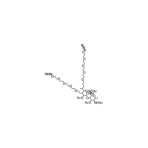 COC(OC1C(COC(C)=O)OC(C)C(NC(C)=O)C1OC(C)=O)C(OC(C)=O)C(CCOCCOCCOCCOCCON=[N+]=[N-])C(OC(C)=O)C(C)CCCOCCOCCOCCOCCON=[N+]=[N-]